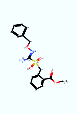 COC(=O)c1ccccc1CS(=O)(=O)C(N)=NOCc1ccccc1